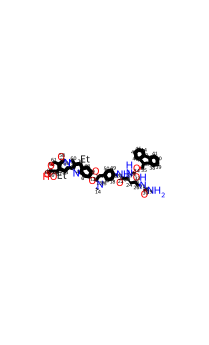 CCc1c2c(nc3ccc(OC(C(=O)N(C)C)c4ccc(NC(=O)[C@H](CCCNC(N)=O)NC(=O)OCC5c6ccccc6-c6ccccc65)cc4)cc13)-c1cc3c(c(=O)n1C2)COC(=O)[C@]3(O)CC